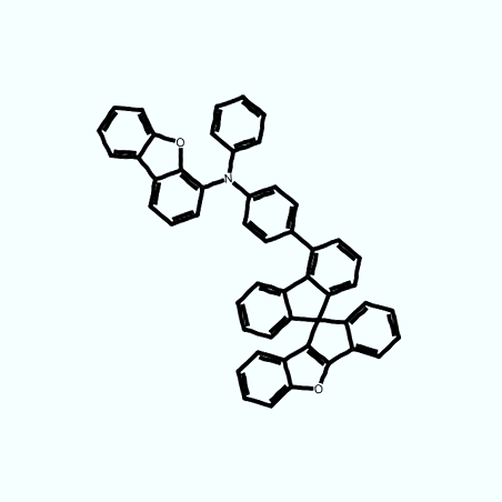 c1ccc(N(c2ccc(-c3cccc4c3-c3ccccc3C43c4ccccc4-c4oc5ccccc5c43)cc2)c2cccc3c2oc2ccccc23)cc1